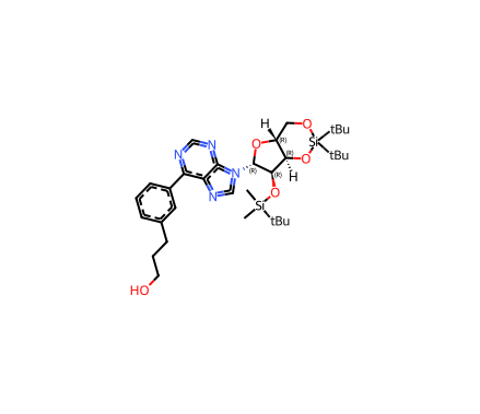 CC(C)(C)[Si](C)(C)O[C@@H]1[C@@H]2O[Si](C(C)(C)C)(C(C)(C)C)OC[C@H]2O[C@H]1n1cnc2c(-c3cccc(CCCO)c3)ncnc21